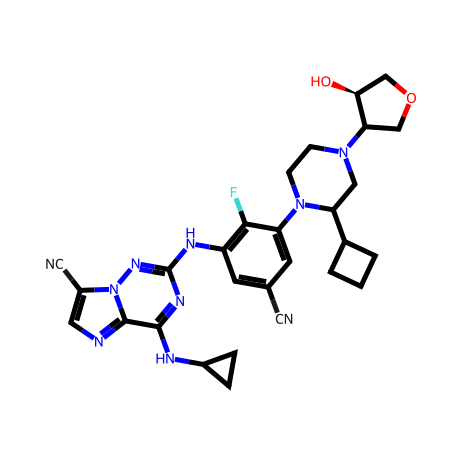 N#Cc1cc(Nc2nc(NC3CC3)c3ncc(C#N)n3n2)c(F)c(N2CCN(C3COC[C@@H]3O)CC2C2CCC2)c1